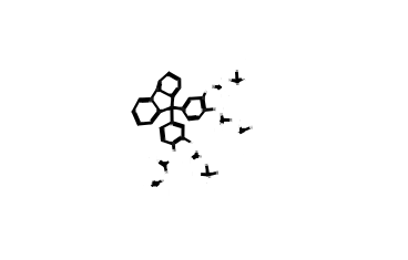 CC(C)(C)OC(=O)Oc1ccc(C2(c3ccc(OC(=O)OC(C)(C)C)c(OC(=O)OC(C)(C)C)c3)c3ccccc3-c3ccccc32)cc1OC(=O)OC(C)(C)C